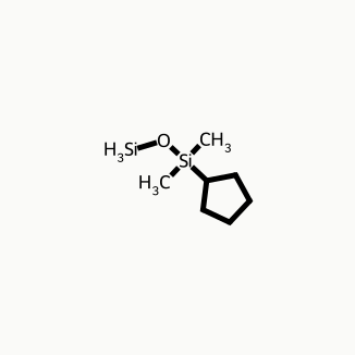 C[Si](C)(O[SiH3])C1CCCC1